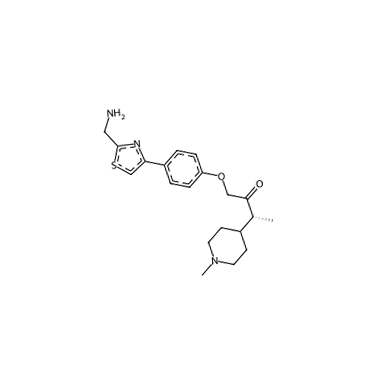 C[C@@H](C(=O)COc1ccc(-c2csc(CN)n2)cc1)C1CCN(C)CC1